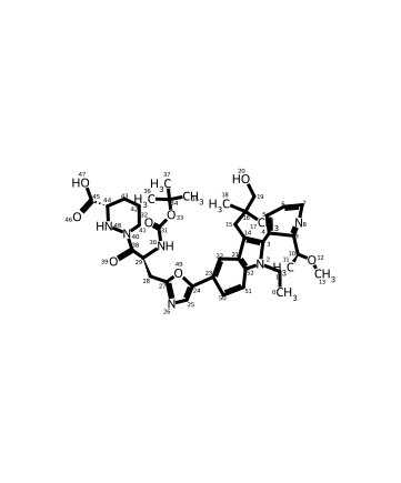 CCn1c(-c2cccnc2[C@H](C)OC)c(CC(C)(C)CO)c2cc(-c3cnc(C[C@H](NC(=O)OC(C)(C)C)C(=O)N4CCC[C@@H](C(=O)O)N4)o3)ccc21